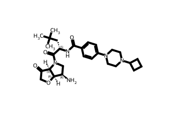 CC(C)(C)C[C@H](NC(=O)c1ccc(N2CCN(C3CCC3)CC2)cc1)C(=O)N1C[C@@H](N)[C@H]2OCC(=O)[C@H]21